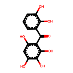 O=C(c1cccc(O)c1O)c1c(O)cc(O)c(O)c1O